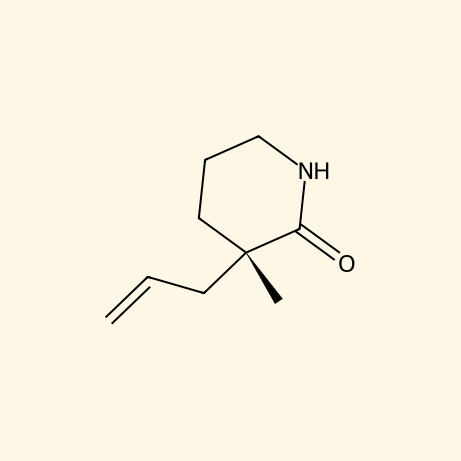 C=CC[C@]1(C)CCCNC1=O